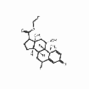 C[C@]12C[C@H](O)[C@@]3(F)[C@@H](C[C@H](F)C4=CC(=O)C=C[C@@]43C)[C@@H]1CC[C@H]2C(=O)SCF